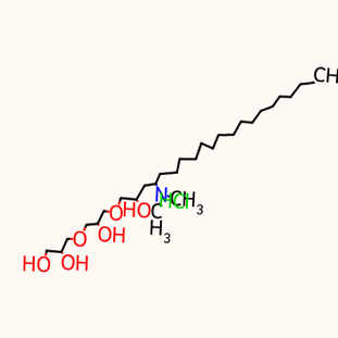 CCCCCCCCCCCCCCCCCC(CC(O)COCC(O)COCC(O)CO)N(C)C.Cl